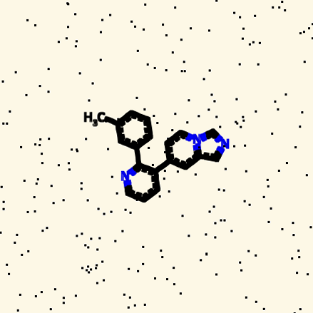 Cc1cccc(-c2ncccc2-c2ccn3cncc3c2)c1